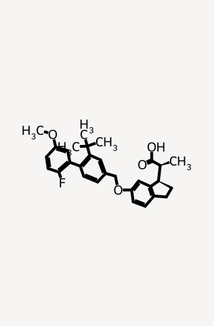 COc1ccc(F)c(-c2ccc(COc3ccc4c(c3)[C@@H]([C@H](C)C(=O)O)CC4)cc2C(C)(C)C)c1